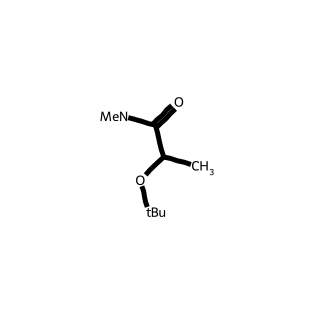 CNC(=O)C(C)OC(C)(C)C